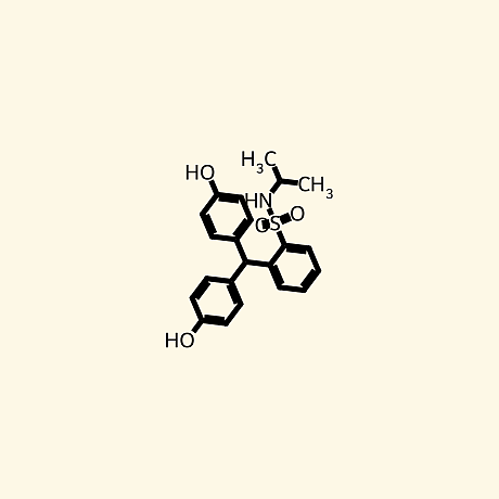 CC(C)NS(=O)(=O)c1ccccc1C(c1ccc(O)cc1)c1ccc(O)cc1